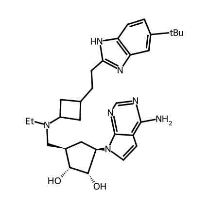 CCN(C[C@H]1C[C@@H](n2ccc3c(N)ncnc32)[C@H](O)[C@@H]1O)C1CC(CCc2nc3cc(C(C)(C)C)ccc3[nH]2)C1